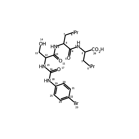 CC(C)CC(NC(=O)C(CC(C)C)NC(=O)C(CO)NC(=O)Nc1ccc(Br)cc1)C(=O)O